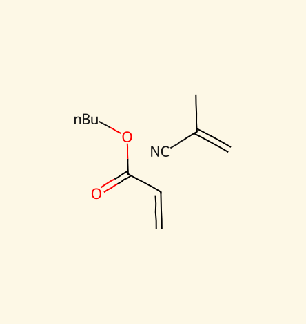 C=C(C)C#N.C=CC(=O)OCCCC